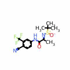 CC(=N[S+]([O-])C(C)(C)C)C(=O)Nc1ccc(C#N)c(C(F)(F)F)c1